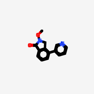 CON1Cc2c(cccc2-c2cccnc2)C1=O